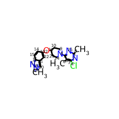 Cc1nc(Cl)c(C)c(N2CCC(Oc3ccc4nn(C)cc4c3)CC2)n1